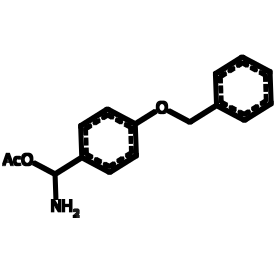 CC(=O)OC(N)c1ccc(OCc2ccccc2)cc1